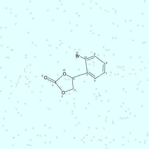 O=C1OCC(c2ccccc2Br)O1